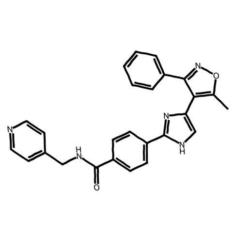 Cc1onc(-c2ccccc2)c1-c1c[nH]c(-c2ccc(C(=O)NCc3ccncc3)cc2)n1